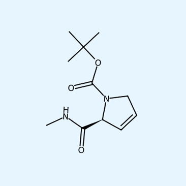 CNC(=O)[C@@H]1C=CCN1C(=O)OC(C)(C)C